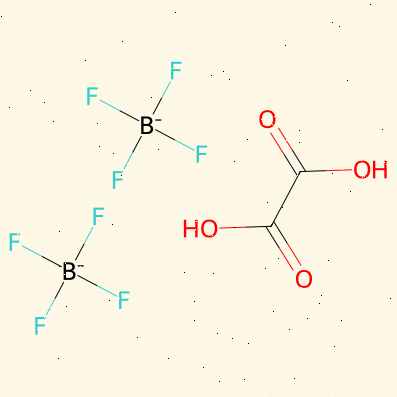 F[B-](F)(F)F.F[B-](F)(F)F.O=C(O)C(=O)O